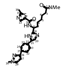 CNC(=O)CCCCCC(NC(=O)c1cnc(C)s1)c1ncc(-c2ccc(-c3ccn(C)n3)cc2)[nH]1